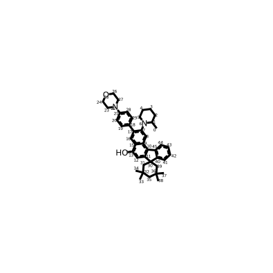 CC1CCCCN1c1cc2c3c(cc(O)c2cc1-c1ccc(N2CCOCC2)cc1)C1(CC(C)(C)CC(C)(C)C1)c1ccccc1-3